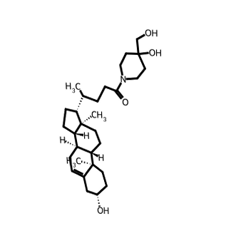 CC(CCC(=O)N1CCC(O)(CO)CC1)[C@H]1CC[C@H]2[C@@H]3CC=C4C[C@@H](O)CC[C@]4(C)[C@H]3CC[C@]12C